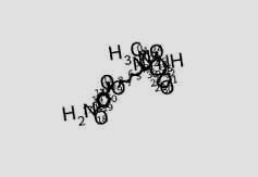 CCn1nc(CCCCOC(=O)c2ccc(C(N)=O)cc2)c2c1C(=O)NCC1(CCOCC1)C2